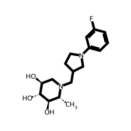 C[C@@H]1[C@@H](O)[C@H](O)[C@@H](O)CN1CC1CCN(c2cccc(F)c2)C1